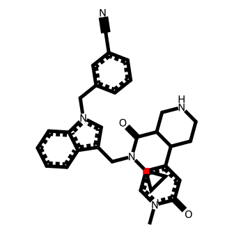 Cn1ccc(C2CCNCC2C(=O)N(Cc2cn(Cc3cccc(C#N)c3)c3ccccc23)C2CC2)cc1=O